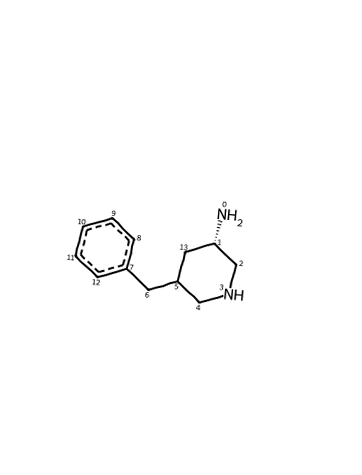 N[C@@H]1CNCC(Cc2ccccc2)C1